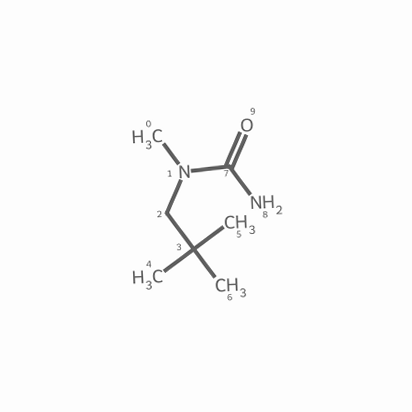 CN(CC(C)(C)C)C(N)=O